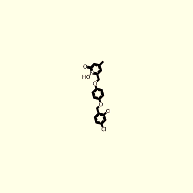 Cc1cc(COc2ccc(OCc3ccc(Cl)cc3Cl)cc2)n(O)c(=O)c1